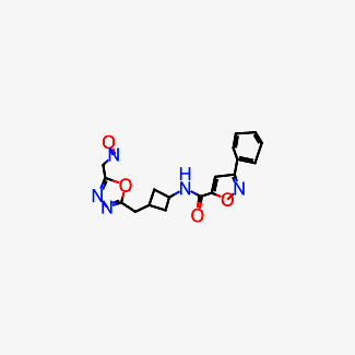 O=NCc1nnc(CC2CC(NC(=O)c3cc(-c4ccccc4)no3)C2)o1